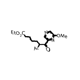 CCOC(=O)CCCCC(C(C)=O)C(=O)c1cncc(OC)n1